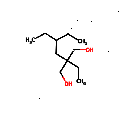 CCC(CC)CC(CC)(CO)CO